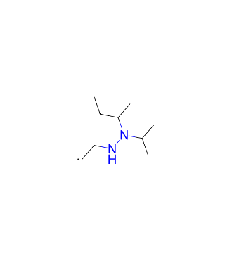 [CH2]CNN(C(C)C)C(C)CC